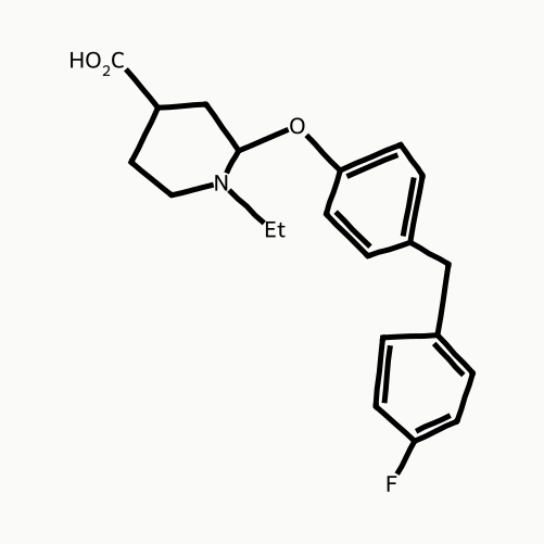 CCN1CCC(C(=O)O)CC1Oc1ccc(Cc2ccc(F)cc2)cc1